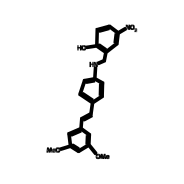 COc1cc(C=Cc2ccc(NCc3cc([N+](=O)[O-])ccc3O)cc2)cc(OC)c1